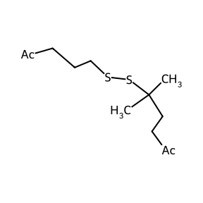 CC(=O)CCCSSC(C)(C)CCC(C)=O